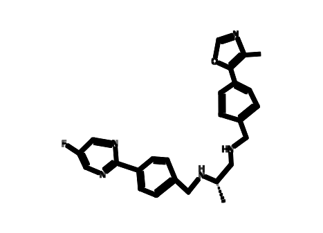 Cc1ncoc1-c1ccc(CNC[C@H](C)NCc2ccc(-c3ncc(F)cn3)cc2)cc1